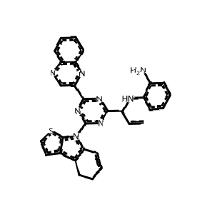 C=CC(Nc1ccccc1N)c1nc(-c2cnc3ccccc3n2)nc(-n2c3c(c4ccsc42)CCC=C3)n1